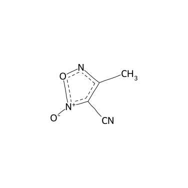 Cc1no[n+]([O-])c1C#N